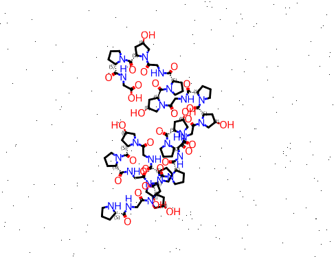 O=C(O)CNC(=O)[C@@H]1CCCN1C(=O)[C@@H]1C[C@@H](O)CN1C(=O)CNC(=O)[C@@H]1CCCN1C(=O)[C@@H]1C[C@@H](O)CN1C(=O)CNC(=O)[C@@H]1CCCN1C(=O)[C@@H]1C[C@@H](O)CN1C(=O)CNC(=O)[C@@H]1CCCN1C(=O)[C@@H]1C[C@@H](O)CN1C(=O)CNC(=O)[C@@H]1CCCN1C(=O)[C@@H]1C[C@@H](O)CN1C(=O)CNC(=O)[C@@H]1CCCN1C(=O)[C@@H]1C[C@@H](O)CN1C(=O)CNC(=O)[C@@H]1CCCN1C(=O)[C@@H]1C[C@@H](O)CN1C(=O)CNC(=O)[C@@H]1CCCN1